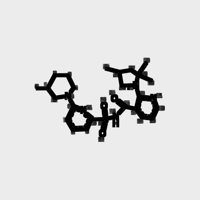 CC1CCCN(c2cccc(S(=O)(=O)NC(=O)c3cccnc3N3CC(C)CC3(C)C)n2)C1